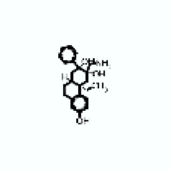 CC[C@@]12C[C@](O)(CN)[C@](O)(c3ccccc3)C[C@H]1CCc1cc(O)ccc12